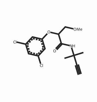 C#CC(C)(C)NC(=O)C(COC)Oc1cc(Cl)cc(Cl)c1